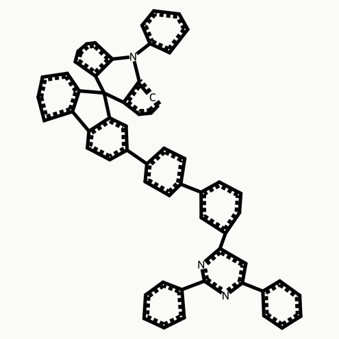 c1ccc(-c2cc(-c3cccc(-c4ccc(-c5ccc6c(c5)C5(c7ccccc7-6)c6ccccc6N(c6ccccc6)c6ccccc65)cc4)c3)nc(-c3ccccc3)n2)cc1